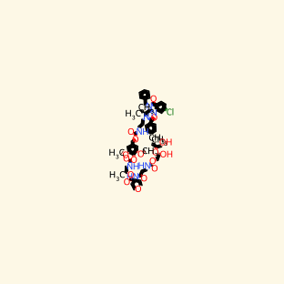 CCC(CO)OC(O)COC(=O)NCCC(=O)NC1(C(=O)OC(C)CNC(=O)Oc2c(OC)cc(COC(=O)NCCCN(C(=O)c3ccc(C)cc3)[C@@H](c3nc4cc(Cl)ccc4c(=O)n3Cc3ccccc3)C(C)C)cc2OC)CCOCC1